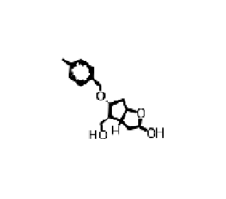 Cc1ccc(CO[C@@H]2CC3OC(O)C[C@@H]3[C@H]2CO)cc1